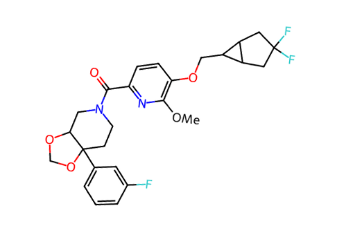 COc1nc(C(=O)N2CCC3(c4cccc(F)c4)OCOC3C2)ccc1OCC1C2CC(F)(F)CC12